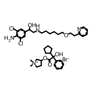 C[N+]1(C)CCC(OC(=O)C(O)(c2ccccc2)C2CCCC2)C1.Nc1c(Cl)cc(C(O)CNCCCCCCOCCc2ccccn2)cc1Cl.[Br-]